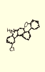 Clc1ccc2[nH]c3cc4c5c(cccc5c3c2c1)-c1ccccc1O4